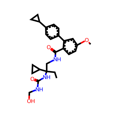 CCC(CNC(=O)c1ccc(OC)cc1-c1ccc(C2CC2)cc1)(NC(=O)NCO)C1CC1